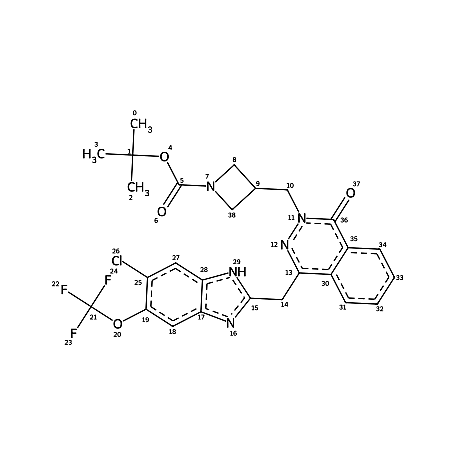 CC(C)(C)OC(=O)N1CC(Cn2nc(Cc3nc4cc(OC(F)(F)F)c(Cl)cc4[nH]3)c3ccccc3c2=O)C1